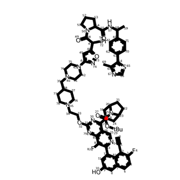 C#Cc1c(F)ccc2cc(O)cc(-c3ncc4c(N5CC6CCC(C5)N6C(=O)OC(C)(C)C)nc(OCCN5CCC(CN6CCN(c7cc(C(C(=O)N8CCCC8C(=O)NC(C)c8ccc(-c9scnc9C)cc8)C(C)C)on7)CC6)CC5)nc4c3F)c12